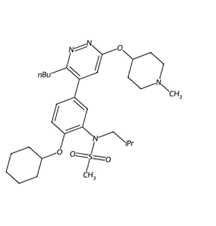 CCCCc1nnc(OC2CCN(C)CC2)cc1-c1ccc(OC2CCCCC2)c(N(CC(C)C)S(C)(=O)=O)c1